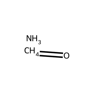 C.C=O.N